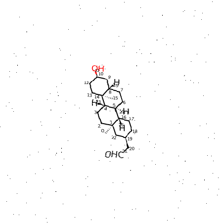 C[C@]12CC[C@H]3[C@@H](CC[C@H]4C[C@H](O)CC[C@@]43C)[C@@H]1CC[C@@H](CC=O)C2